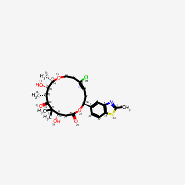 Cc1nc2cc([C@@H]3C/C=C(/Cl)CCO[C@@H](C)[C@@H](O)[C@@H](C)C(=O)C(C)(C)[C@@H](O)CC(=O)O3)ccc2s1